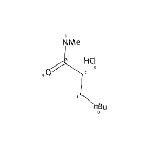 CCCCCCC(=O)NC.Cl